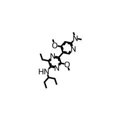 CCc1nc(-c2cnc(N(C)C)cc2OC)c(OC)nc1NC(CC)CC